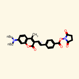 CCCCN(CCCC)c1ccc2c(C)c(/C=C/c3ccc(C(=O)ON4C(=O)CCC4=O)cc3)c(=O)oc2c1